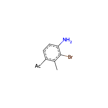 CC(=O)c1ccc(N)c(Br)c1C